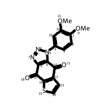 COc1ccc(-n2nnc3c2C(=O)c2ccsc2C3=O)cc1OC